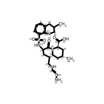 CC1CNc2c(cccc2S(=O)(=O)NC(CCCNC=NN)C(=O)N2CC[C@@H](C)C[C@@H]2C(=O)O)C1